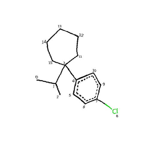 CC(C)C1(c2ccc(Cl)cc2)CCCCC1